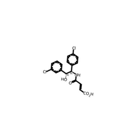 O=C(O)C=CC(=O)N[C@H](c1ccc(Cl)cc1)[C@H](O)c1cccc(Cl)c1